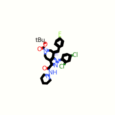 CC(C)(C)OC(=O)N1CCc2c(C(=O)NN3CCCCC3)nn(-c3ccc(Cl)cc3Cl)c2/C(=C/c2ccc(F)cc2)C1